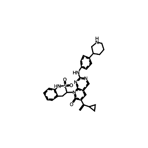 C=C(c1cc2cnc(Nc3ccc(C4CCCNC4)cc3)nc2n(C2Cc3ccccc3NS2(=O)=O)c1=O)C1CC1